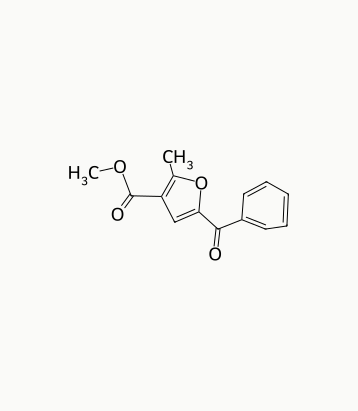 COC(=O)c1cc(C(=O)c2ccccc2)oc1C